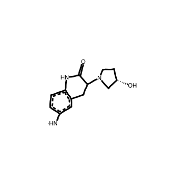 [NH]c1ccc2c(c1)CC(N1CC[C@H](O)C1)C(=O)N2